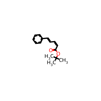 CC(C)(C)OC(=O)/C=C\C=C\c1ccccc1